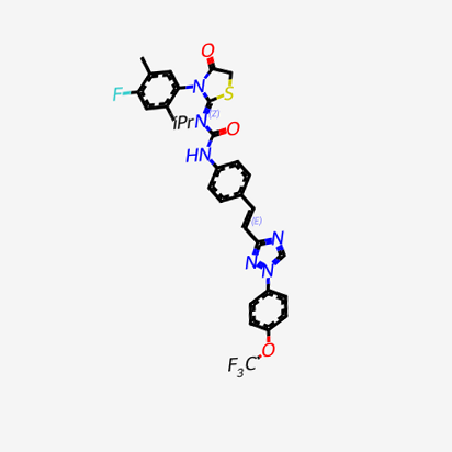 Cc1cc(N2C(=O)CS/C2=N\C(=O)Nc2ccc(/C=C/c3ncn(-c4ccc(OC(F)(F)F)cc4)n3)cc2)c(C(C)C)cc1F